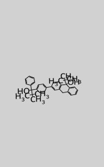 CC(C)(C)C(O)(c1ccccc1)c1ccc(-c2ccc3c(c2)Cc2ccccc2C3(O)C(C)(C)C)cc1